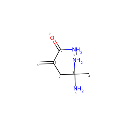 C=C(CC(C)(N)N)C(N)=O